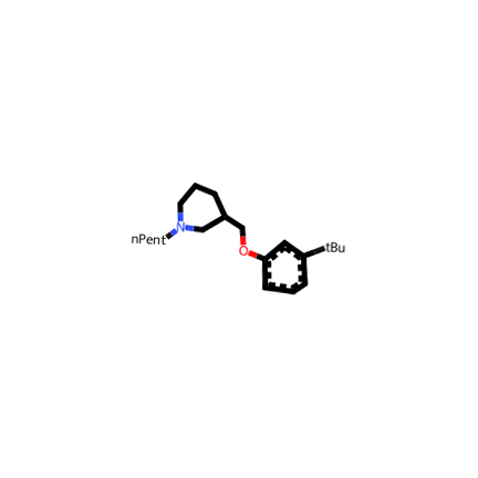 CCCCCN1CCCC(COc2cccc(C(C)(C)C)c2)C1